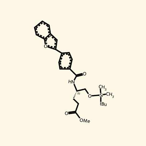 COC(=O)CC[C@@H](CO[Si](C)(C)C(C)(C)C)NC(=O)c1ccc(-c2cc3ccccc3o2)cc1